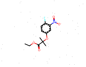 CCOC(=O)C(C)(C)Oc1ccc(F)c([N+](=O)[O-])c1